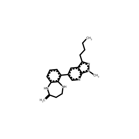 C=C1CCNc2c(cccc2-c2cnc3c(c2)c(CCCC)nn3C)N1